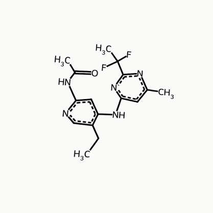 CCc1cnc(NC(C)=O)cc1Nc1cc(C)nc(C(C)(F)F)n1